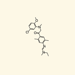 CCN(C)C=Nc1cc(C)c(C(=O)CN(C)c2cc(Cl)ccc2OC)cc1C